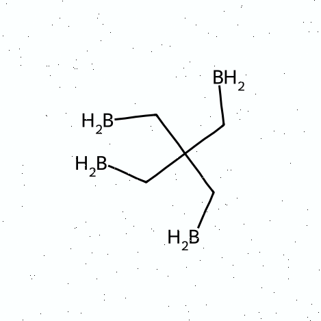 BCC(CB)(CB)CB